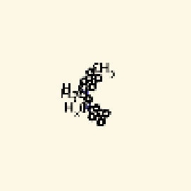 C/N=C(\c1ccc(/C(=N\C)c2ccc3c(c2)C2(c4ccccc4-3)c3cc(C)ccc3-c3ccc(C)cc32)cc1)c1ccc2c(c1)C1(c3ccccc3-c3ccccc31)c1ccccc1-2